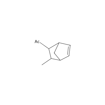 CC(=O)C1C2C=CC(C2)C1C